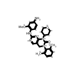 COc1cc(N)ccc1Nc1ncc2c(n1)N(C1CCOCC1)C(=O)N(c1c(C)cccc1C)C2